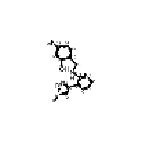 Cn1cc(-c2cccnc2NCc2ccc(F)cc2O)nn1